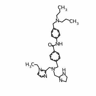 CCCN(CCC)Cc1ccc(NC(=O)c2ccc(CN(CC3=NCCN3)Cc3nccn3CC)cc2)cc1